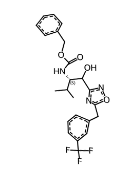 CC(C)[C@H](NC(=O)OCc1ccccc1)C(O)c1noc(Cc2cccc(C(F)(F)F)c2)n1